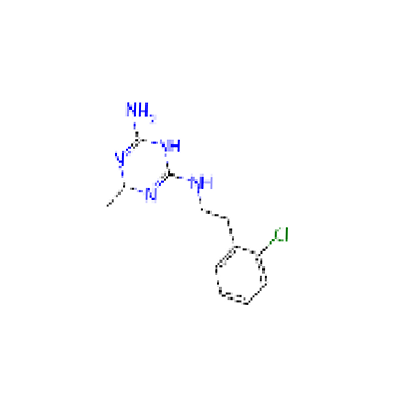 CC1N=C(N)NC(NCCc2ccccc2Cl)=N1